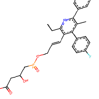 CCc1nc(-c2ccccc2)c(C)c(-c2ccc(F)cc2)c1C=CCO[PH](=O)CC(O)CC(=O)O